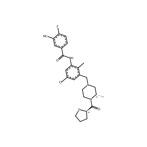 Cc1c(CN2CCN(C(=O)[C@H]3CCCO3)[C@@H](C)C2)cc(Cl)cc1NC(=O)c1ccc(F)c(C#N)c1